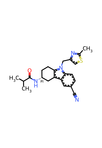 Cc1nc(Cn2c3c(c4cc(C#N)ccc42)C[C@H](NC(=O)C(C)C)CC3)cs1